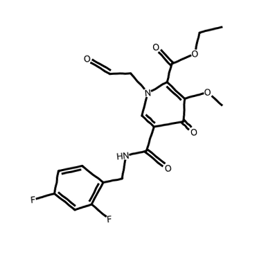 CCOC(=O)c1c(OC)c(=O)c(C(=O)NCc2ccc(F)cc2F)cn1CC=O